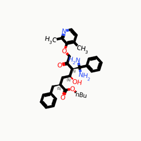 CCCCOC(=O)[C@@H](Cc1ccccc1)C[C@H](O)[C@@H](C(=O)COc1c(C)ccnc1C)C(N)(N)c1ccccc1